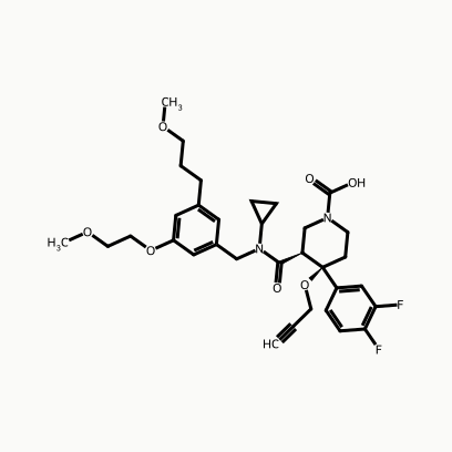 C#CCO[C@]1(c2ccc(F)c(F)c2)CCN(C(=O)O)C[C@@H]1C(=O)N(Cc1cc(CCCOC)cc(OCCOC)c1)C1CC1